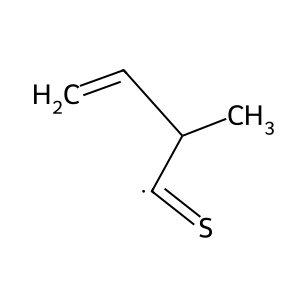 C=CC(C)[C]=S